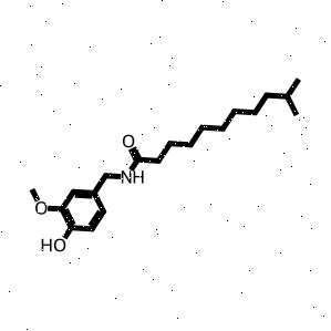 COc1cc(CNC(=O)CCCCCCCCC(C)C)ccc1O